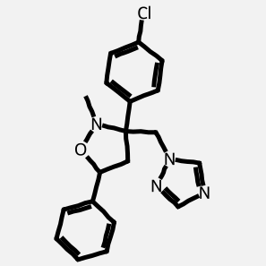 CN1OC(c2ccccc2)CC1(Cn1cncn1)c1ccc(Cl)cc1